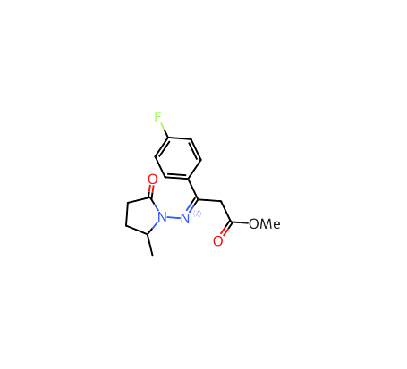 COC(=O)C/C(=N/N1C(=O)CCC1C)c1ccc(F)cc1